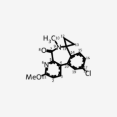 COc1ccc2c(n1)C(=O)N(C)C1(CC1)c1ccc(Cl)cc1-2